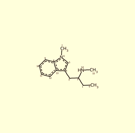 CCC(Cc1cn(C)c2ccccc12)NC